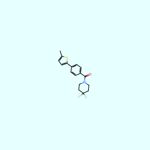 Cc1ccc(-c2ccc(C(=O)N3CCC(F)(F)CC3)cc2)s1